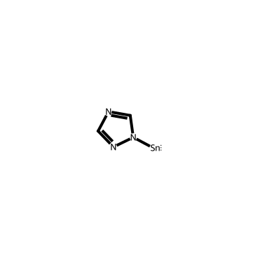 [Sn][n]1cncn1